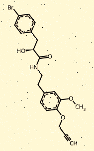 C#CCOc1ccc(CCNC(=O)[C@@H](O)Cc2ccc(Br)cc2)cc1OC